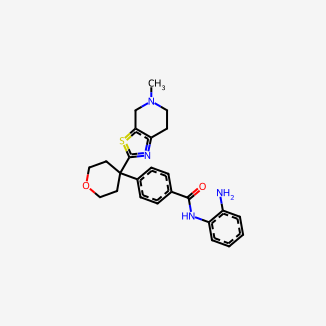 CN1CCc2nc(C3(c4ccc(C(=O)Nc5ccccc5N)cc4)CCOCC3)sc2C1